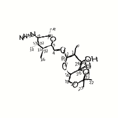 CC1[C@H](OCC2O[C@@H](C)C(N=[N+]=[N-])[C@@H](C)[C@@H]2C)OC2COC(C)(C)O[C@H]2[C@@H]1O